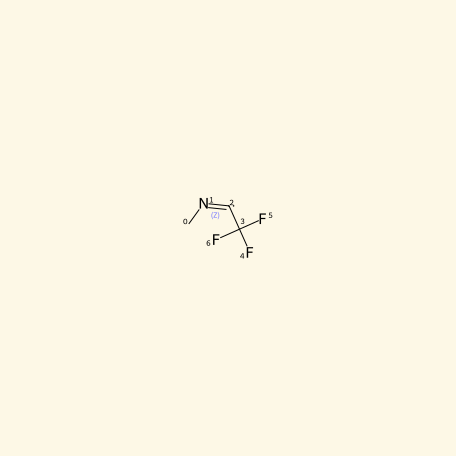 C/N=[C]\C(F)(F)F